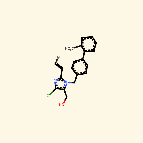 CC/C=C/c1nc(Cl)c(CO)n1Cc1ccc(-c2ccccc2C(=O)O)cc1